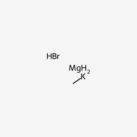 Br.[CH3][K].[MgH2]